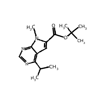 CC(C)c1ncnc2c1cc(C(=O)OC(C)(C)C)n2C